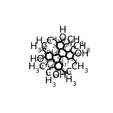 CCc1cc2c(c(CC)c1O)c1c(CC)c(O)c(CC)cc1c1c3cc(CC)c(O)c(CC)c3c3c(CC)c(O)c(CC)cc3c21